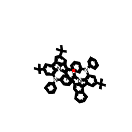 CC(C)(C)c1cc(N(c2ccccc2)c2ccccc2)c2c(c1)c1cc(C(C)(C)C)cc3c4nc5c(nc4n2c13)c1cc2ccccc2c2c3cc(C(C)(C)C)cc(N(c4ccccc4)c4ccccc4)c3n5c12